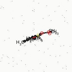 C=C(CC)C(=O)OCCCCCCCOc1ccc(-c2ccc(-c3ccc4c(c3)C3(c5cc(-c6ccc(-c7ccc(-c8ccc(C)cc8)cc7)cc6)ccc5-4)C(C)(C)CCC3(C)C)s2)cc1